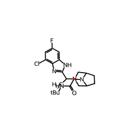 CC(c1nc2c(Cl)cc(F)cc2[nH]1)N1CC2CCC(C1)N2CC(=O)NC(C)(C)C